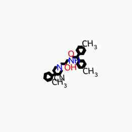 Cc1ccc(C(C(=O)NCC(O)CN2CCC(C#N)(c3ccccc3C)CC2)c2ccc(C)cc2)cc1